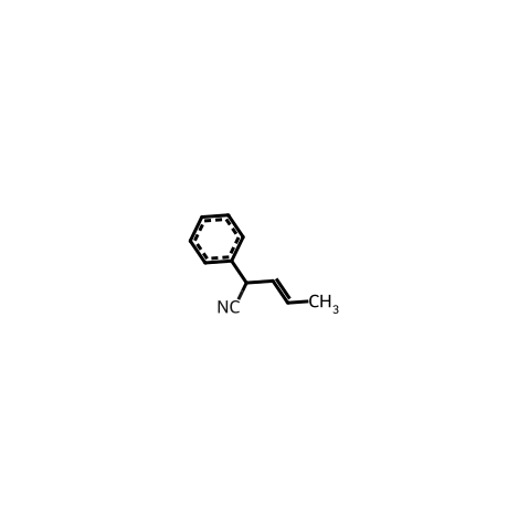 CC=CC(C#N)c1ccccc1